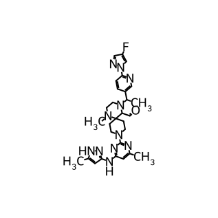 Cc1cc(Nc2cc(C)[nH]n2)nc(N2CCC3(CC2)C(C=O)N(C(C)c2ccc(-n4cc(F)cn4)nc2)CCN3C)n1